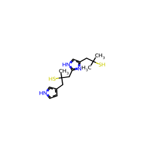 CC(C)(S)Cc1c[nH]c(CC(C)(S)Cc2cc[nH]c2)n1